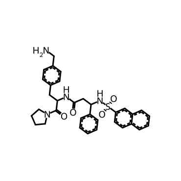 NCc1ccc(CC(NC(=O)CC(NS(=O)(=O)c2ccc3ccccc3c2)c2ccccc2)C(=O)N2CCCC2)cc1